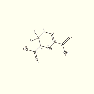 CC1(C)SC=C(C(=O)O)NC1C(=O)O